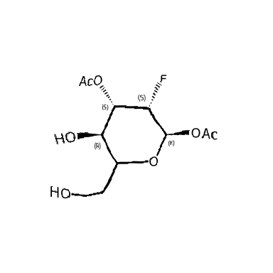 CC(=O)O[C@H]1OC(CO)[C@@H](O)[C@H](OC(C)=O)[C@@H]1F